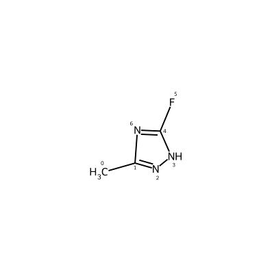 Cc1n[nH]c(F)n1